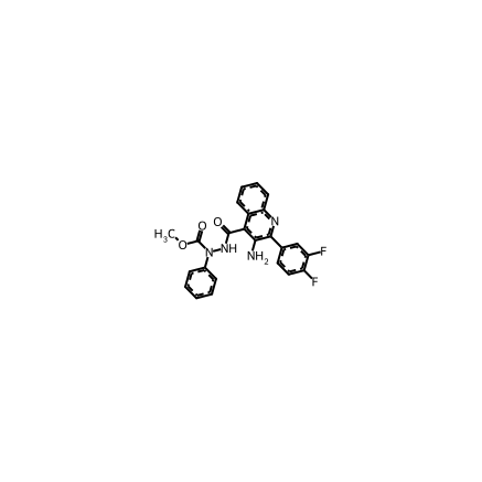 COC(=O)N(NC(=O)c1c(N)c(-c2ccc(F)c(F)c2)nc2ccccc12)c1ccccc1